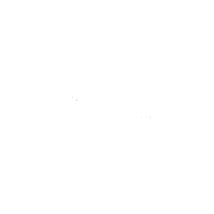 Cc1cnc2c(c1)CCO2